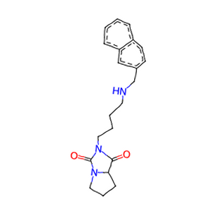 O=C1C2CCCN2C(=O)N1CCCCNCc1ccc2ccccc2c1